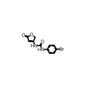 O=C(NC1=CC(=O)OC1)Nc1ccc(Br)cc1